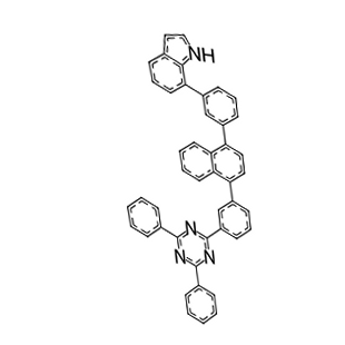 c1ccc(-c2nc(-c3ccccc3)nc(-c3cccc(-c4ccc(-c5cccc(-c6cccc7cc[nH]c67)c5)c5ccccc45)c3)n2)cc1